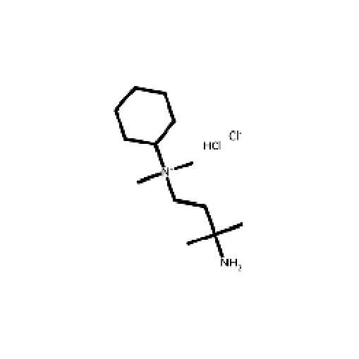 CC(C)(N)CC[N+](C)(C)C1CCCCC1.Cl.[Cl-]